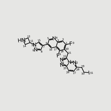 Fc1cc2ncc(-c3cnn(C4CNC4)c3)cc2c(F)c1Cc1nnc2ccc(CCI)nn12